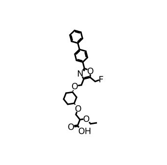 CCOC(CO[C@@H]1CCC[C@H](OCc2nc(-c3ccc(-c4ccccc4)cc3)oc2CF)C1)C(=O)O